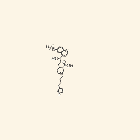 COc1ccc2nccc([C@H](O)CC[C@@H]3CCN(CCCCc4ccsc4)C[C@@H]3C(=O)O)c2c1